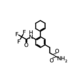 NS(=O)(=O)CCc1ccc(NC(=O)C(F)(F)F)c(C2=CCCCC2)c1